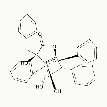 O=C1O[C@@]23[C@H](c4ccccc4)C[C@@H](O)[C@@](O)(c4ccccc4)[C@@]2(O[C@H]3c2ccccc2)[C@]1(O)Cc1ccccc1